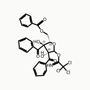 N=C(OC1O[C@@H](COC(=O)c2ccccc2)[C@@](O)(C(=O)c2ccccc2)[C@]1(O)C(=O)c1ccccc1)C(Cl)(Cl)Cl